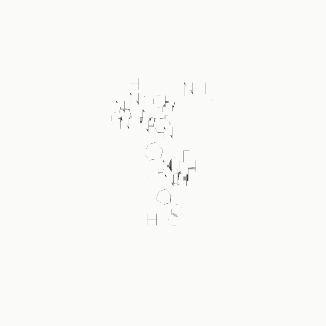 CCn1c(-c2nonc2N)nc2c(-c3cccc(N(OC(=O)C(F)(F)F)C(=O)Nc4cccc(OC)c4)c3)ncc(OCCCN)c21